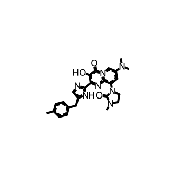 Cc1ccc(Cc2cnc(-c3nc4c(N5CCN(C)C5=O)cc(N(C)C)cn4c(=O)c3O)[nH]2)cc1